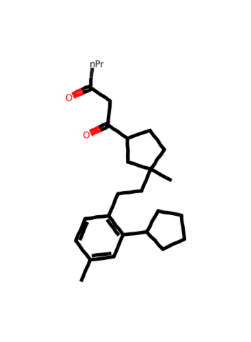 CCCC(=O)CC(=O)C1CCC(C)(CCc2ccc(C)cc2C2CCCC2)C1